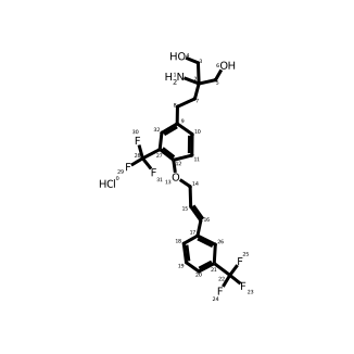 Cl.NC(CO)(CO)CCc1ccc(OCC=Cc2cccc(C(F)(F)F)c2)c(C(F)(F)F)c1